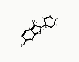 FC(F)(F)c1c2ccc(Br)cc2nn1C1CCOCC1